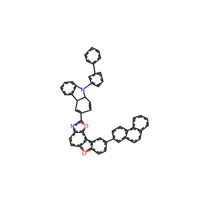 C1=CC2C(C=C1c1nc3ccc4oc5ccc(-c6ccc7c(ccc8ccccc87)c6)cc5c4c3o1)c1ccccc1N2c1cccc(-c2ccccc2)c1